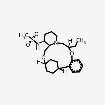 CC[C@H]1CN2CCC[C@H](NS(C)(=O)=O)C2CO[C@H]2CC[C@H](CC2)c2ccccc2O1